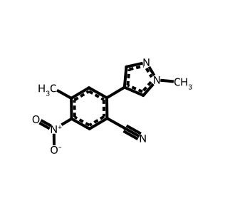 Cc1cc(-c2cnn(C)c2)c(C#N)cc1[N+](=O)[O-]